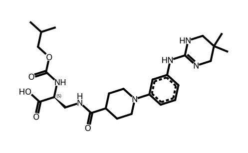 CC(C)COC(=O)N[C@@H](CNC(=O)C1CCN(c2cccc(NC3=NCC(C)(C)CN3)c2)CC1)C(=O)O